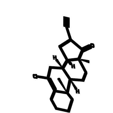 C#CC1C[C@H]2[C@@H]3CC(Cl)=C4CCCC[C@]4(C)[C@@H]3CC[C@]2(C)C1=O